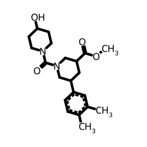 COC(=O)C1CC(c2ccc(C)c(C)c2)CN(C(=O)N2CCC(O)CC2)C1